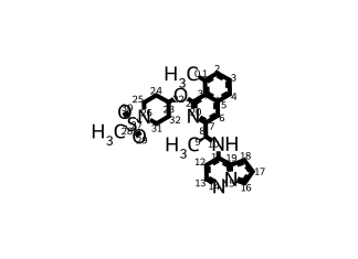 Cc1cccc2cc([C@H](C)Nc3ccnn4cccc34)nc(OC3CCN(S(C)(=O)=O)CC3)c12